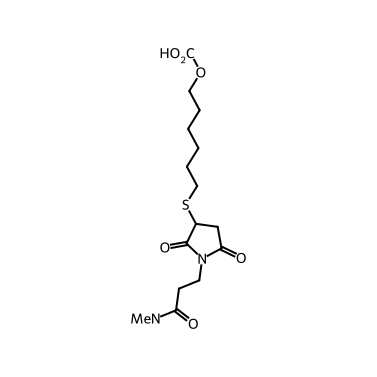 CNC(=O)CCN1C(=O)CC(SCCCCCCOC(=O)O)C1=O